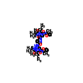 CC[C@@H](C)[C@H](NC(=O)[C@H](C)NC)C(=O)N1C[C@@H](NC(=O)c2cccc(C(=O)N[C@H]3C[C@@H](C(=O)N[C@H](C)c4ccccc4)N(C(=O)[C@@H](NC(=O)[C@H](C)NC)[C@H](C)CC)C3)c2)C[C@H]1C(=O)N[C@H](C)c1ccccc1